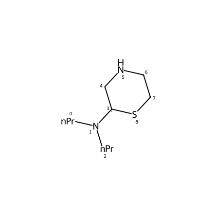 CCCN(CCC)[C]1CNCCS1